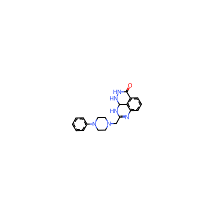 O=C1NNC2NC(CN3CCN(c4ccccc4)CC3)=Nc3cccc1c32